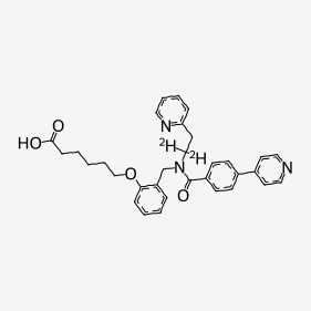 [2H]C([2H])(Cc1ccccn1)N(Cc1ccccc1OCCCCCC(=O)O)C(=O)c1ccc(-c2ccncc2)cc1